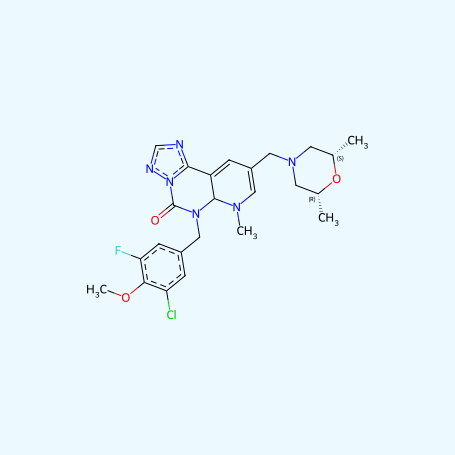 COc1c(F)cc(CN2C(=O)n3ncnc3C3=CC(CN4C[C@@H](C)O[C@@H](C)C4)=CN(C)C32)cc1Cl